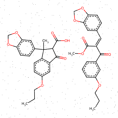 CCCOc1ccc2c(c1)C(=O)C(C(=O)O)C2(C)c1ccc2c(c1)OCO2.CCCOc1cccc(C(=O)C(=Cc2ccc3c(c2)OCO3)C(=O)OC)c1